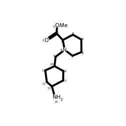 COC(=O)C1CCCCN1CC1CCC(N)CC1